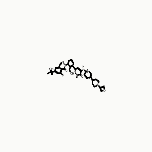 Cn1nc(-c2cccc(-n3ncc4cc(C(C)(C)C#N)cc(F)c4c3=O)c2CO)cc(Nc2ccc(C3CCN(C4COC4)CC3)cn2)c1=O